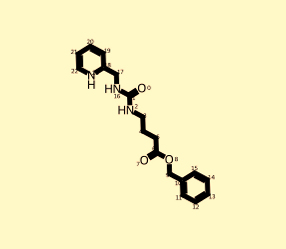 O=C(NCCCC(=O)OCc1ccccc1)NCC1C=CC=CN1